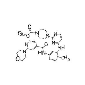 Cc1ccc(NC(=O)c2ccnc(N3CCOCC3)c2)cc1Nc1ccnc(N2CCN(C(=O)OC(C)(C)C)CC2)n1